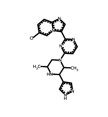 CC1CN(c2ccnc(-c3cnc4ccc(Cl)cn34)n2)C(C)C(c2cn[nH]c2)N1